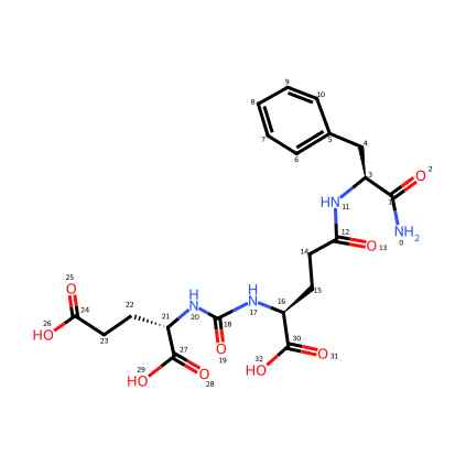 NC(=O)[C@H](Cc1ccccc1)NC(=O)CC[C@H](NC(=O)N[C@@H](CCC(=O)O)C(=O)O)C(=O)O